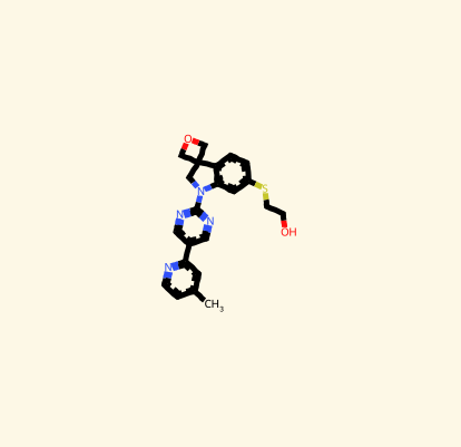 Cc1ccnc(-c2cnc(N3CC4(COC4)c4ccc(SCCO)cc43)nc2)c1